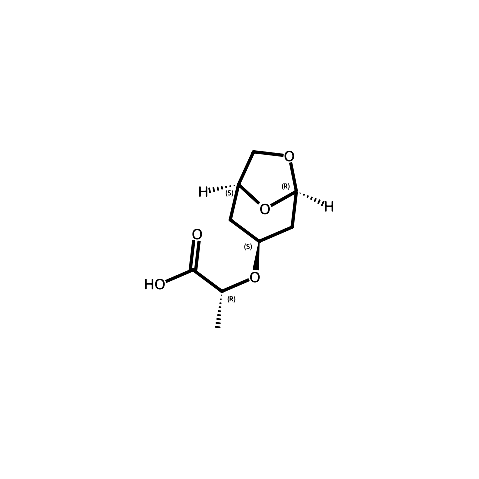 C[C@@H](O[C@H]1C[C@H]2CO[C@@H](C1)O2)C(=O)O